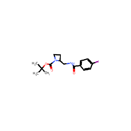 CC(C)(C)OC(=O)N1CCC1CNC(=O)c1ccc(I)cc1